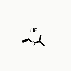 C=COC(C)C.F